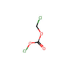 O=C(OCl)OCCl